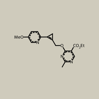 CCOC(=O)c1cnc(C)nc1OCC1=C(c2ccc(OC)cn2)C1